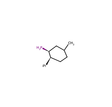 CC1CC[C@@H](C(C)C)[C@@H](P)C1